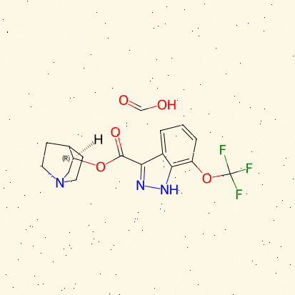 O=C(O[C@H]1CN2CCC1CC2)c1n[nH]c2c(OC(F)(F)F)cccc12.O=CO